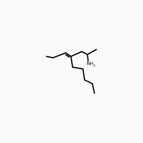 CC/C=C(\CCCCC)CC(C)N